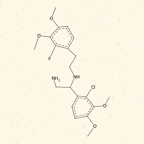 COc1ccc(CCNC(CN)c2ccc(OC)c(OC)c2Cl)c(F)c1OC